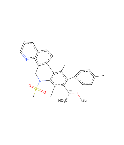 Cc1ccc(-c2c(C)c3c(c(C)c2[C@H](OC(C)(C)C)C(=O)O)N(S(C)(=O)=O)Cc2c-3ccc3cccnc23)cc1